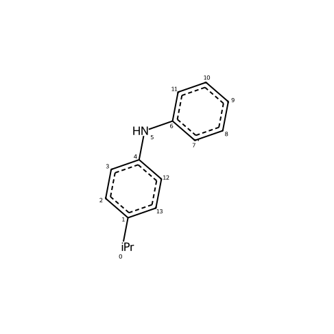 CC(C)c1ccc(Nc2[c]cccc2)cc1